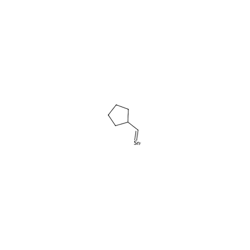 [Sn]=[CH]C1CCCC1